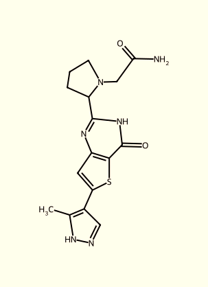 Cc1[nH]ncc1-c1cc2nc(C3CCCN3CC(N)=O)[nH]c(=O)c2s1